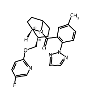 Cc1ccc(-n2nccn2)c(C(=O)N2C3CC[C@@H](COc4ccc(F)cn4)[C@@H]2CC3)c1